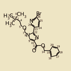 C[Si](C)(C)CCOCn1cc(C(=O)OCc2ccccc2)nc1-c1ccc(Br)nc1